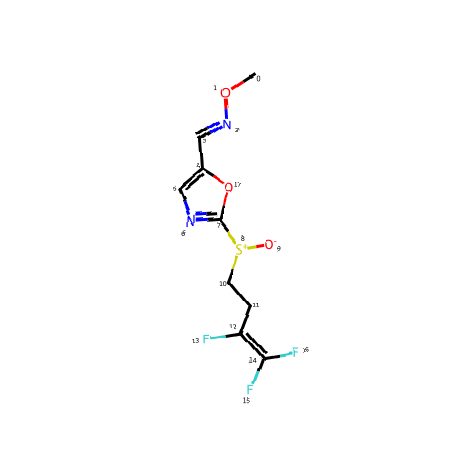 CO/N=C/c1cnc([S+]([O-])CCC(F)=C(F)F)o1